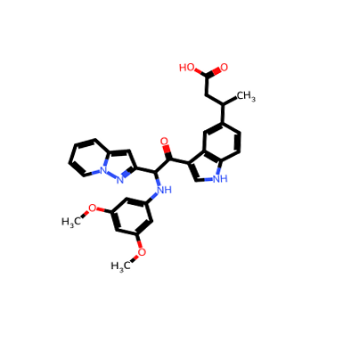 COc1cc(NC(C(=O)c2c[nH]c3ccc(C(C)CC(=O)O)cc23)c2cc3ccccn3n2)cc(OC)c1